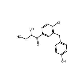 O=C(c1ccc(Cl)c(Cc2ccc(O)cc2)c1)C(O)CO